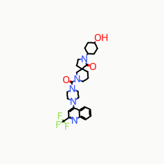 O=C(N1CCN(c2cc(C(F)(F)F)nc3ccccc23)CC1)N1CCCC2(CCN(C3CCC(O)CC3)C2=O)C1